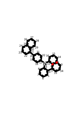 c1ccc(-c2ccccc2N(c2ccccc2)c2ccc(-c3cccc4ccccc34)cc2)cc1